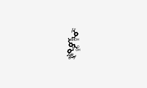 CC(Cc1ccc2c(c1)cc(C(=O)O)n2Cc1cccc(N(C)S(=O)(=O)CC(F)(F)F)c1)NCC(O)c1cccc(C(F)(F)F)c1